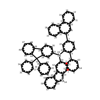 c1ccc(-c2ccc(-c3cc4ccccc4c4ccccc34)cc2N(c2ccc3c(c2)C(c2ccccc2)(c2ccccc2)c2ccccc2-3)c2ccc3sc4ccccc4c3c2)cc1